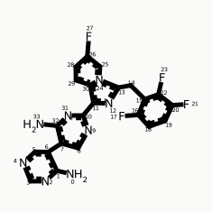 Nc1ncncc1-c1cnc(-c2nc(Cc3c(F)ccc(F)c3F)n3cc(F)ccc23)nc1N